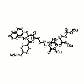 CC(=O)NCC1CCC(C(=O)N[C@@H](Cc2ccc3ccccc3c2)C(=O)NCCCC[C@H](NC(=O)N[C@@H](CCC(=O)OC(C)(C)C)C(=O)OC(C)(C)C)C(=O)OC(C)(C)C)CC1